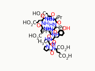 CC(C)[C@H](NC(=O)[C@H](CC(=O)O)NC(=O)[C@H](CCC(=O)O)NC(=O)[C@@H](N)CCC(=O)O)C(=O)N[C@H](C(=O)N[C@H](C(=O)N[C@@H](Cc1ccc(O)cc1)C(=O)N[C@@H](C)C(=O)N1CCC[C@H]1C(=O)N[C@@H](CCC(=O)O)C(=O)O)C(C)C)C(C)C